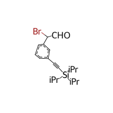 CC(C)[Si](C#Cc1cccc(C(Br)C=O)c1)(C(C)C)C(C)C